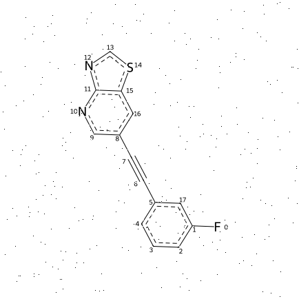 Fc1cccc(C#Cc2cnc3ncsc3c2)c1